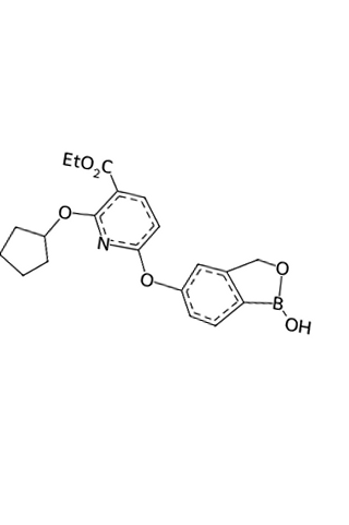 CCOC(=O)c1ccc(Oc2ccc3c(c2)COB3O)nc1OC1CCCC1